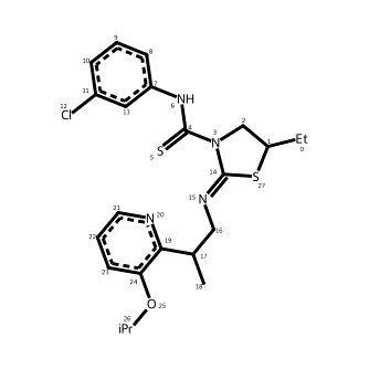 CCC1CN(C(=S)Nc2cccc(Cl)c2)C(=NCC(C)c2ncccc2OC(C)C)S1